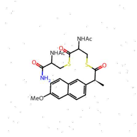 COc1ccc2cc([C@H](C)C(=O)SCC(NC(C)=O)C(=O)SCC(NC(C)=O)C(N)=O)ccc2c1